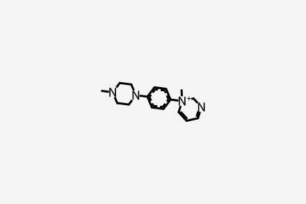 CN1CCN(c2ccc([N+]3(C)C=CC=NC3)cc2)CC1